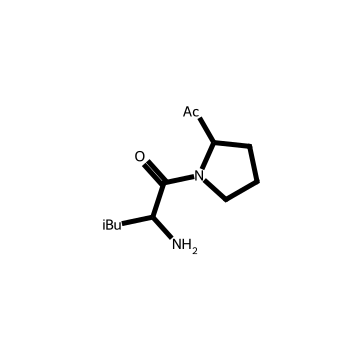 CCC(C)C(N)C(=O)N1CCCC1C(C)=O